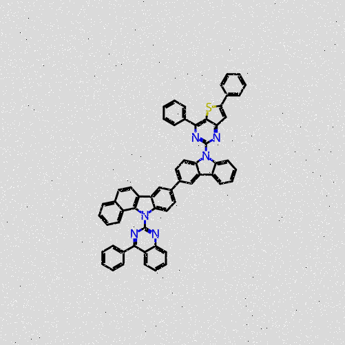 c1ccc(-c2cc3nc(-n4c5ccccc5c5cc(-c6ccc7c(c6)c6ccc8ccccc8c6n7-c6nc(-c7ccccc7)c7ccccc7n6)ccc54)nc(-c4ccccc4)c3s2)cc1